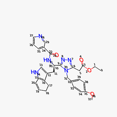 CCOC(=O)Cc1nnc([C@@H](Cc2c[nH]c3c2CCC=C3)NC(=O)c2cccnc2)n1Cc1ccc(OC)cc1